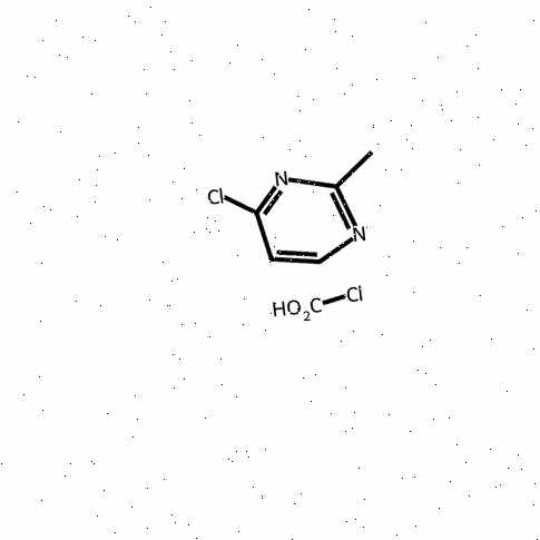 Cc1nccc(Cl)n1.O=C(O)Cl